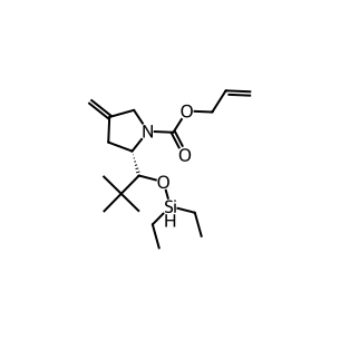 C=CCOC(=O)N1CC(=C)C[C@H]1C(O[SiH](CC)CC)C(C)(C)C